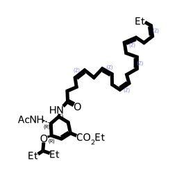 CC/C=C\C/C=C\C/C=C\C/C=C\C/C=C\C/C=C\CCC(=O)N[C@H]1CC(C(=O)OCC)=C[C@@H](OC(CC)CC)[C@@H]1NC(C)=O